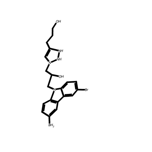 Bc1ccc2c(c1)c1cc(Br)ccc1n2CC(O)CN1C=C(CCCO)NN1